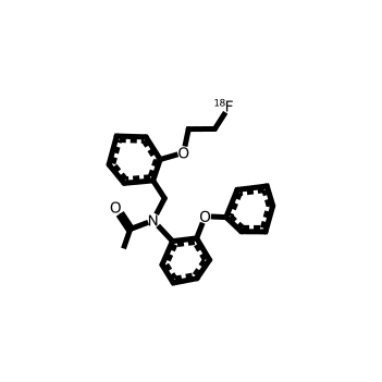 CC(=O)N(Cc1ccccc1OCC[18F])c1ccccc1Oc1ccccc1